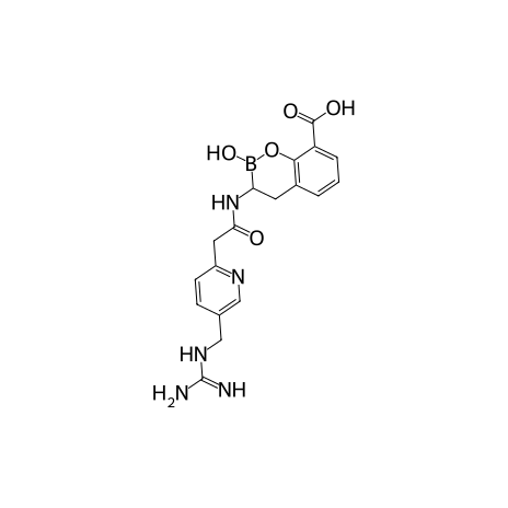 N=C(N)NCc1ccc(CC(=O)NC2Cc3cccc(C(=O)O)c3OB2O)nc1